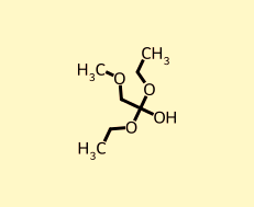 CCOC(O)(COC)OCC